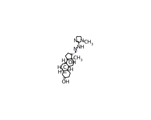 CN1CCN=C1N/N=C/[C@H]1CC[C@]2(O)[C@@H]3CC[C@@H]4C[C@@H](O)CC[C@]4(C)[C@H]3CC[C@]12C